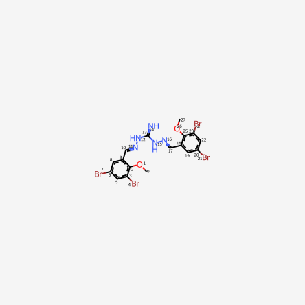 COc1c(Br)cc(Br)cc1C=NNC(=N)NN=Cc1cc(Br)cc(Br)c1OC